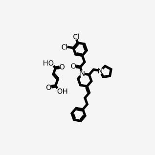 O=C(Cc1ccc(Cl)c(Cl)c1)N1CCC(=CCCc2ccccc2)CC1CN1CCCC1.O=C(O)C=CC(=O)O